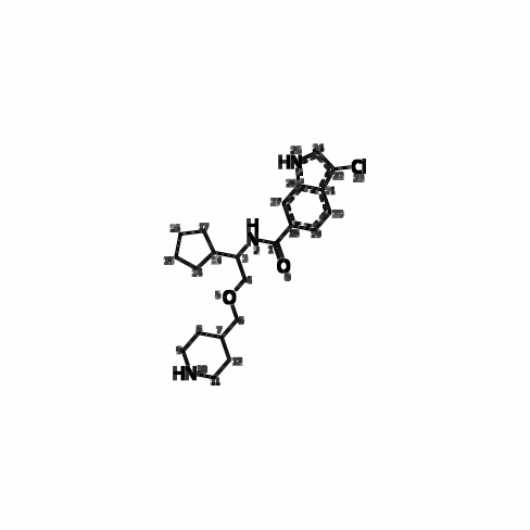 O=C(NC(COCC1CCNCC1)C1CCCC1)c1ccc2c(Cl)c[nH]c2c1